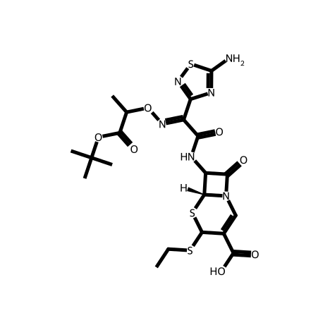 CCSC1S[C@@H]2C(NC(=O)C(=NOC(C)C(=O)OC(C)(C)C)c3nsc(N)n3)C(=O)N2C=C1C(=O)O